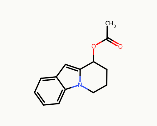 CC(=O)OC1CCCn2c1cc1ccccc12